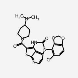 CN(C)C1CCN(C(=O)c2sc3nccc4c3c2NC(=O)N4c2c(Cl)ccc3c2OCO3)CC1